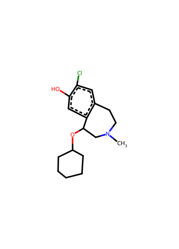 CN1CCc2cc(Cl)c(O)cc2C(OC2CCCCC2)C1